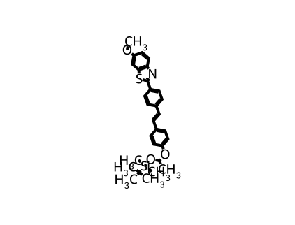 COc1ccc2nc(-c3ccc(C=Cc4ccc(OC(C)O[Si](C)(C)C(C)(C)C)cc4)cc3)sc2c1